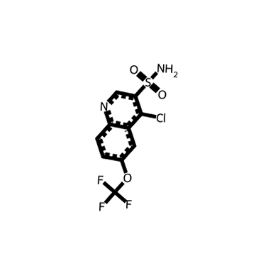 NS(=O)(=O)c1cnc2ccc(OC(F)(F)F)cc2c1Cl